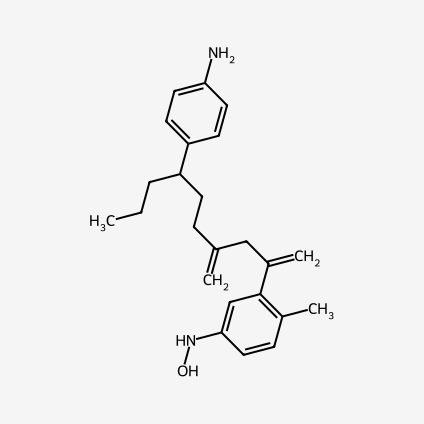 C=C(CCC(CCC)c1ccc(N)cc1)CC(=C)c1cc(NO)ccc1C